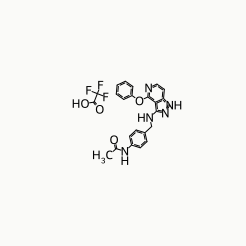 CC(=O)Nc1ccc(CNc2n[nH]c3ccnc(Oc4ccccc4)c23)cc1.O=C(O)C(F)(F)F